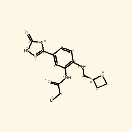 O=C(CCl)Nc1cc(-c2n[nH]c(=O)s2)ccc1NC[C@@H]1CCO1